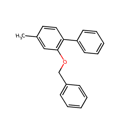 Cc1ccc(-c2ccccc2)c(OCc2ccccc2)c1